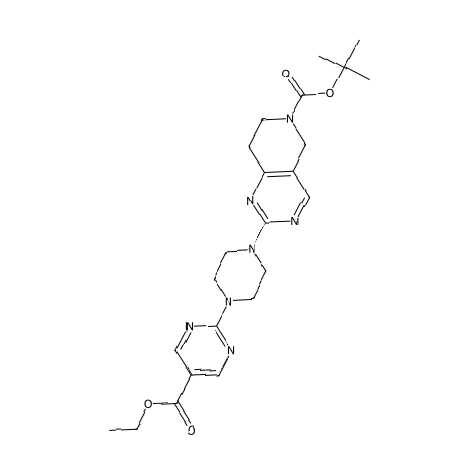 CCOC(=O)c1cnc(N2CCN(c3ncc4c(n3)CCN(C(=O)OC(C)(C)C)C4)CC2)nc1